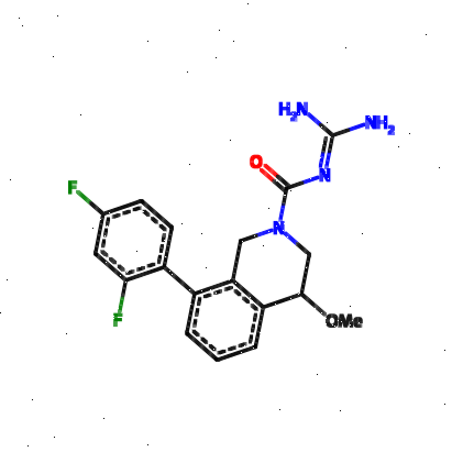 COC1CN(C(=O)N=C(N)N)Cc2c(-c3ccc(F)cc3F)cccc21